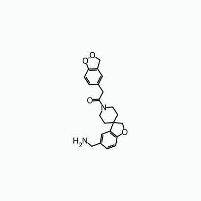 NCc1ccc2c(c1)C1(CCN(C(=O)Cc3ccc4c(c3)COO4)CC1)CO2